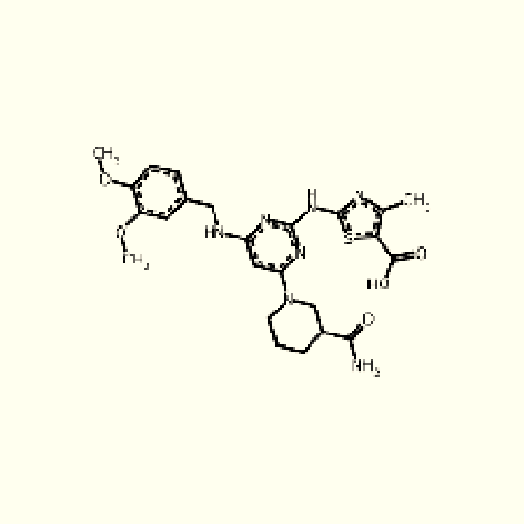 COc1ccc(CNc2cc(N3CCCC(C(N)=O)C3)nc(Nc3nc(C)c(C(=O)O)s3)n2)cc1OC